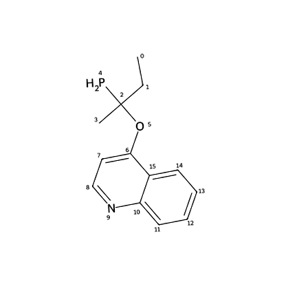 CCC(C)(P)Oc1ccnc2ccccc12